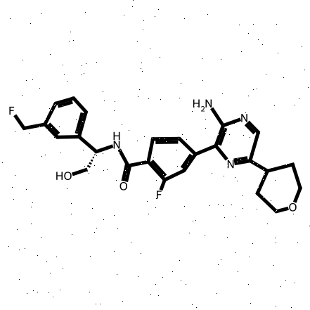 Nc1ncc(C2CCOCC2)nc1-c1ccc(C(=O)N[C@H](CO)c2cccc(CF)c2)c(F)c1